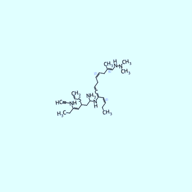 C#CNC(=CC(CC(N)NC(=C=CC/C=C\C/C(C)=C/NN(C)C)/C=C\CC)SC=C)CC